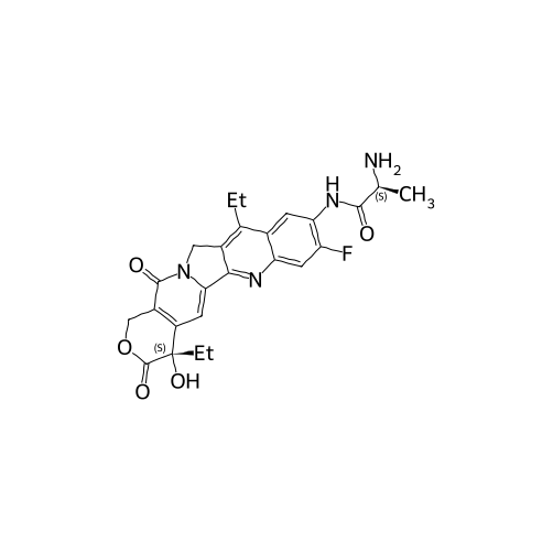 CCc1c2c(nc3cc(F)c(NC(=O)[C@H](C)N)cc13)-c1cc3c(c(=O)n1C2)COC(=O)[C@]3(O)CC